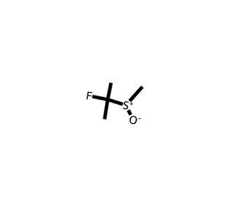 C[S+]([O-])C(C)(C)F